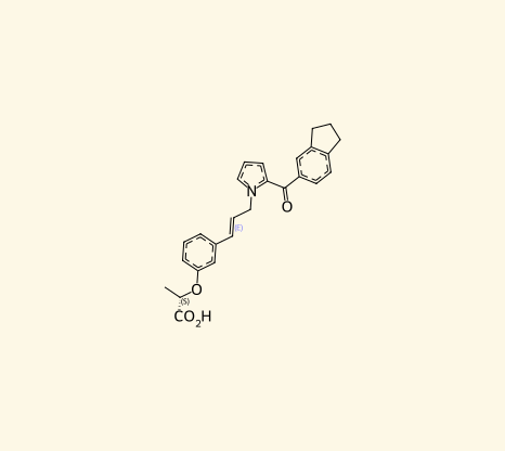 C[C@H](Oc1cccc(/C=C/Cn2cccc2C(=O)c2ccc3c(c2)CCC3)c1)C(=O)O